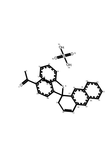 CC(=O)c1ccc(C2(Sc3ccccc3)CC=Cc3cc4ccccc4cc32)cc1.O=S(=O)(O)O